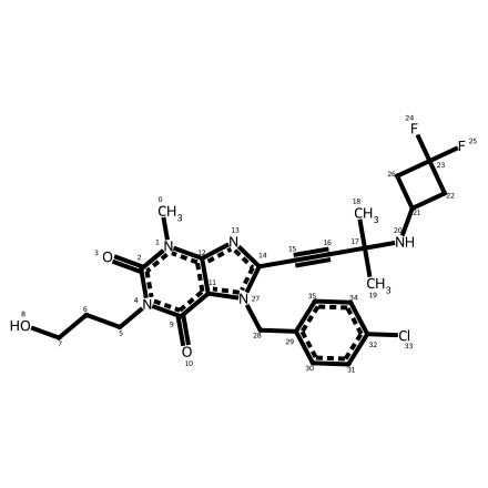 Cn1c(=O)n(CCCO)c(=O)c2c1nc(C#CC(C)(C)NC1CC(F)(F)C1)n2Cc1ccc(Cl)cc1